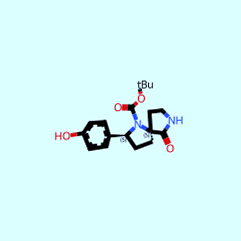 CC(C)(C)OC(=O)N1[C@H](c2ccc(O)cc2)CC[C@@]12CCNC2=O